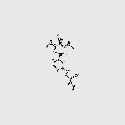 CCOC(=O)/C=C/c1cccc(-c2cc(OC)c(OC)c(OC)c2)c1